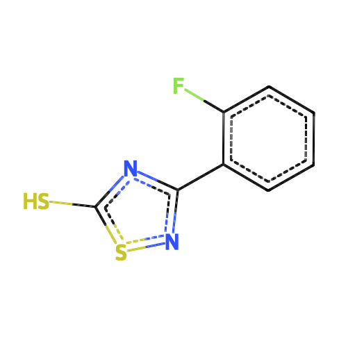 Fc1ccccc1-c1nsc(S)n1